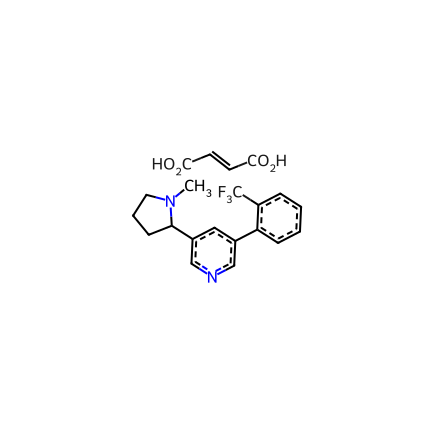 CN1CCCC1c1cncc(-c2ccccc2C(F)(F)F)c1.O=C(O)C=CC(=O)O